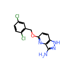 Nc1n[nH]c2ccc(OCc3cc(Cl)ccc3Cl)nc12